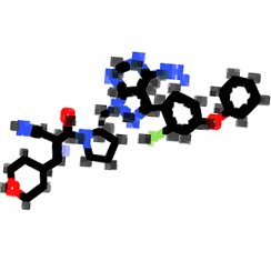 N#C/C(=C\C1CCOCC1)C(=O)N1CCC[C@H]1Cn1nc(-c2ccc(Oc3ccccc3)cc2F)c2c(N)ncnc21